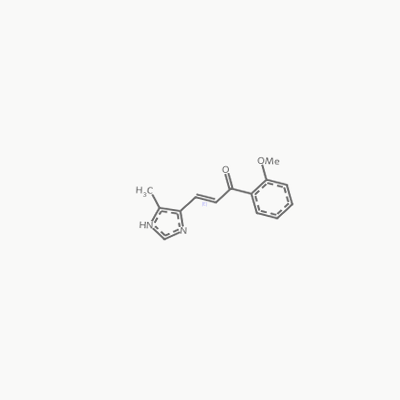 COc1ccccc1C(=O)/C=C/c1nc[nH]c1C